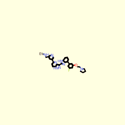 CCNCc1cncc(-c2ccc3[nH]nc(-c4nc5c(-c6cc(F)cc(OCCN7CCCC7)c6)cccc5[nH]4)c3n2)c1